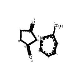 O=C(O)c1ccccn1.O=C1CCC(=O)C1